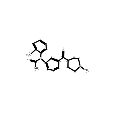 Cc1ccccc1N(C(N)=S)c1cccc(C(=O)C2CCN(C)CC2)c1